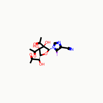 CC(=O)C(O)[C@H]1O[C@@H](n2cnc(C#N)c2I)[C@@](O)(C(C)=O)[C@@]1(O)C(C)=O